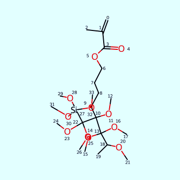 C=C(C)C(=O)OCCCCC(OC)(C(OC)(OC)C(C)OC)C(OC)(OC)[Si](OC)(OC)OC